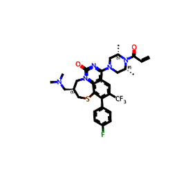 C=CC(=O)N1[C@H](C)CN(c2nc(=O)n3c4c(c(-c5ccc(F)cc5)c(C(F)(F)F)cc24)SC[C@@H](CN(C)C)C3)C[C@@H]1C